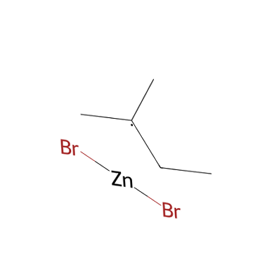 CC[C](C)C.[Br][Zn][Br]